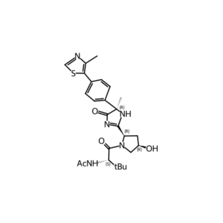 CC(=O)N[C@H](C(=O)N1C[C@H](O)C[C@@H]1C1=NC(=O)[C@@](C)(c2ccc(-c3scnc3C)cc2)N1)C(C)(C)C